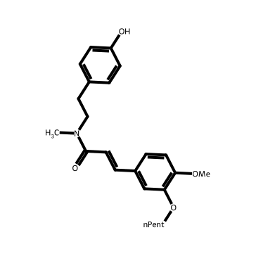 CCCCCOc1cc(C=CC(=O)N(C)CCc2ccc(O)cc2)ccc1OC